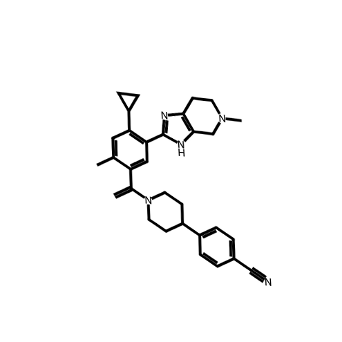 C=C(c1cc(-c2nc3c([nH]2)CN(C)CC3)c(C2CC2)cc1C)N1CCC(c2ccc(C#N)cc2)CC1